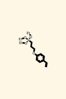 C=Cc1ccc(OCCC[Si](OCC)(OCC)OCC)cc1